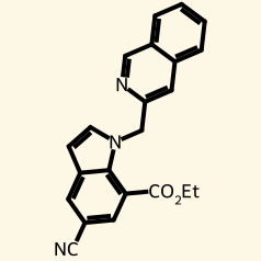 CCOC(=O)c1cc(C#N)cc2ccn(Cc3cc4ccccc4cn3)c12